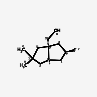 CC1(C)CN2C[C@H](F)C[C@]2(CO)C1